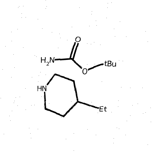 CC(C)(C)OC(N)=O.CCC1CCNCC1